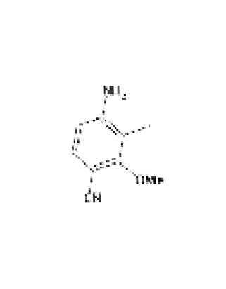 COc1c(C#N)ccc(N)c1C